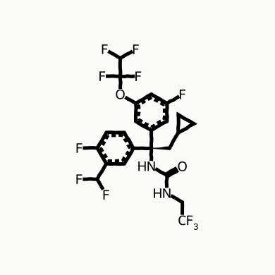 O=C(NCC(F)(F)F)N[C@@](CC1CC1)(c1cc(F)cc(OC(F)(F)C(F)F)c1)c1ccc(F)c(C(F)F)c1